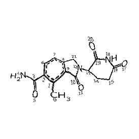 Cc1c(C(N)=O)ccc2c1C(=O)N(C1CCC(=O)NC1=O)C2